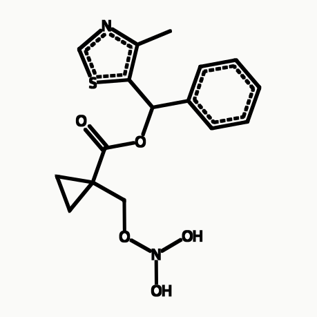 Cc1ncsc1C(OC(=O)C1(CON(O)O)CC1)c1ccccc1